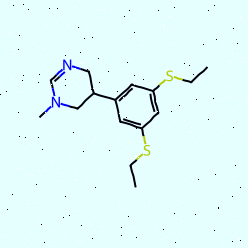 CCSc1cc(SCC)cc(C2CN=CN(C)C2)c1